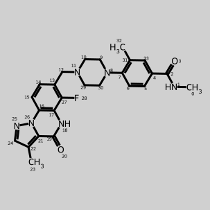 CNC(=O)c1ccc(N2CCN(Cc3ccc4c([nH]c(=O)c5c(C)cnn54)c3F)CC2)c(C)c1